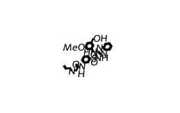 C=CCN(C)CC(=O)Nc1cccc(S(=O)(=O)Nc2nc3ccccc3nc2Nc2cc(CO)cc(OC)c2)c1